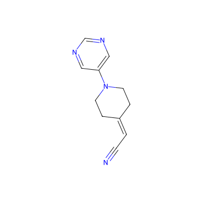 N#CC=C1CCN(c2cncnc2)CC1